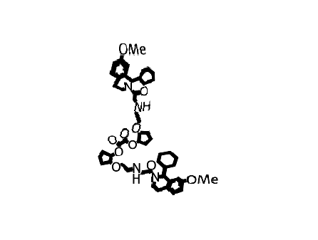 COc1ccc2c(c1)C(C1CCCCC1)N(C(=O)CNCCOC1CCCC1OC(=O)C(=O)OC1CCCC1OCCNCC(=O)N1CCc3ccc(OC)cc3C1C1CCCCC1)CC2